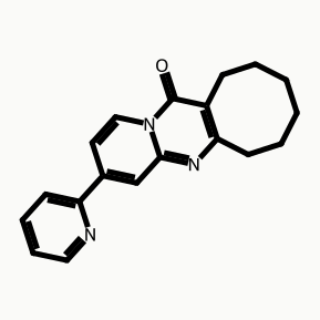 O=c1c2c(nc3cc(-c4ccccn4)ccn13)CCCCCC2